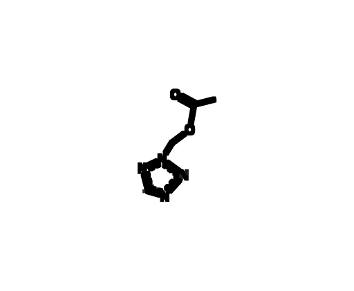 CC(=O)OCn1n[c]nn1